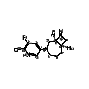 Fc1cc(N2CCC[C@@H]3CN[C@@H]3C2)cnc1Cl